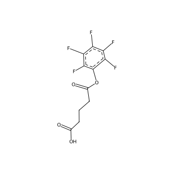 O=C(O)CCCC(=O)Oc1c(F)c(F)c(F)c(F)c1F